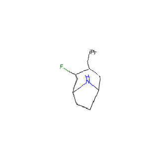 CC(C)C1CC2CCC(N2)C1F